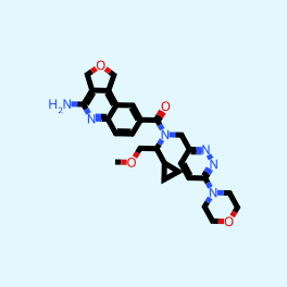 COCC(C1CC1)N(Cc1ccc(N2CCOCC2)nn1)C(=O)c1ccc2nc(N)c3c(c2c1)COC3